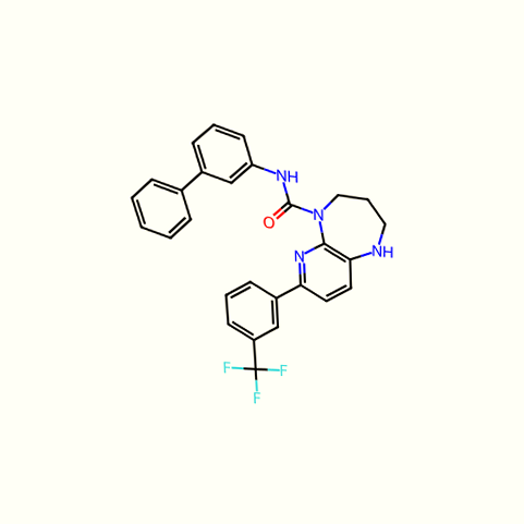 O=C(Nc1cccc(-c2ccccc2)c1)N1CCCNc2ccc(-c3cccc(C(F)(F)F)c3)nc21